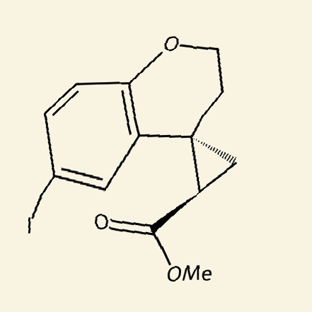 COC(=O)[C@@H]1C[C@]12CCOc1ccc(I)cc12